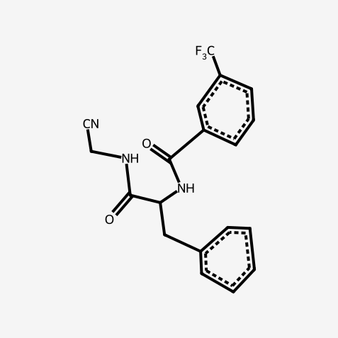 N#CCNC(=O)C(Cc1ccccc1)NC(=O)c1cccc(C(F)(F)F)c1